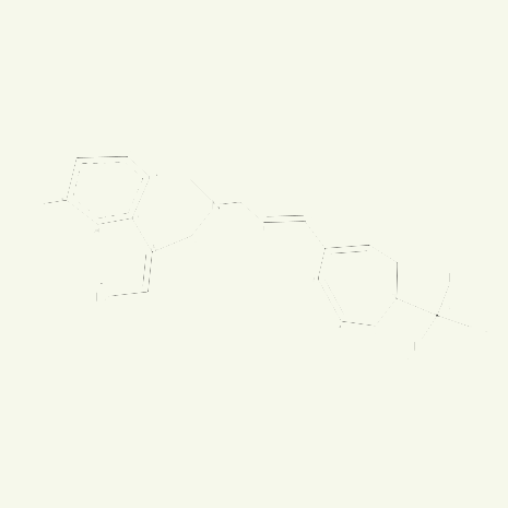 Cc1cccc(/C(=C\S)CN(C)C/C=C/C2=CCC(C(F)(F)F)CC=C2)c1